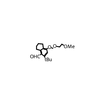 COCCOCOc1cc(C(C)(C)C)c(C=O)c2c1CCCC2